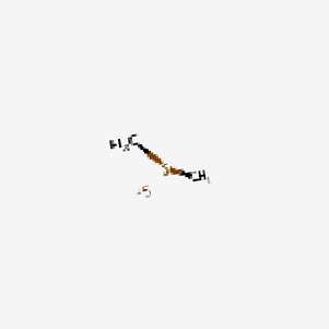 CSC.[S]